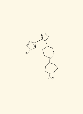 CC(C)n1cc(-c2ccnn2C2CCN(C3CCCN(C(=O)O)CC3)CC2)cn1